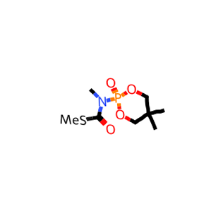 CSC(=O)N(C)P1(=O)OCC(C)(C)CO1